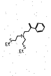 C=C(CCN(CCSCC)CCSCC)c1ccccc1